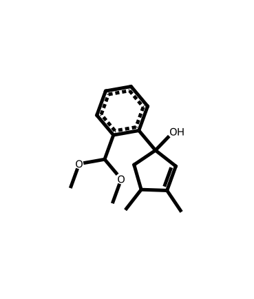 COC(OC)c1ccccc1C1(O)C=C(C)C(C)C1